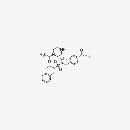 CC(=O)N1CCNCC1.CN(Cc1ccc(C(=O)O)cc1)S(=O)(=O)N1CCc2ccccc2C1